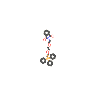 O=C1c2ccccc2C(=O)N1CCOCCOCC[PH](c1ccccc1)(c1ccccc1)c1ccccc1